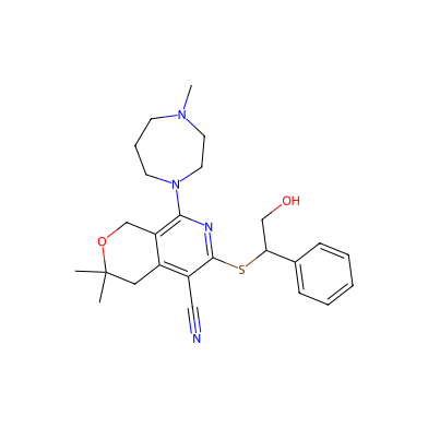 CN1CCCN(c2nc(SC(CO)c3ccccc3)c(C#N)c3c2COC(C)(C)C3)CC1